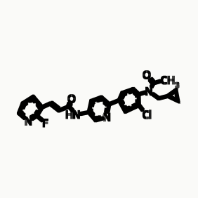 CC(=O)N(CC1CC1)c1ccc(-c2ccc(NC(=O)C=Cc3cccnc3F)cn2)cc1Cl